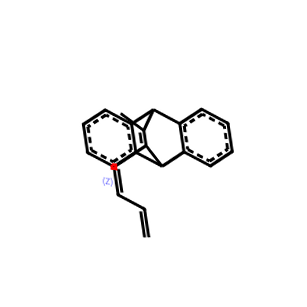 C=C/C=C\C1=C(C)C2c3ccccc3C1c1ccccc12